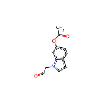 CC(=O)Oc1ccc2ccn(CC=O)c2c1